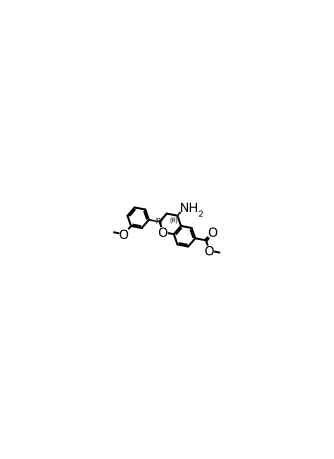 COC(=O)c1ccc2c(c1)[C@H](N)C[C@H](c1cccc(OC)c1)O2